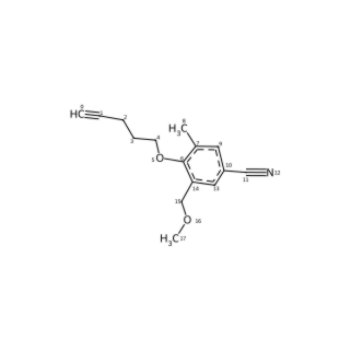 C#CCCCOc1c(C)cc(C#N)cc1COC